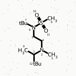 CC(N(C)CCN(C(C)(C)C)S(C)(=O)=O)C(C)(C)C